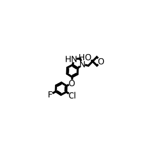 OC1(CN2CNc3ccc(Oc4ccc(F)cc4Cl)cc32)COC1